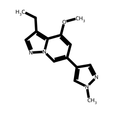 CCc1cnn2cc(-c3cnn(C)c3)cc(OC)c12